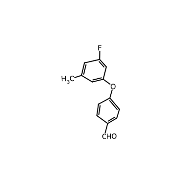 Cc1cc(F)cc(Oc2ccc(C=O)cc2)c1